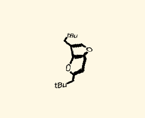 CC(C)(C)Cc1cc2occ(CC(C)(C)C)c2o1